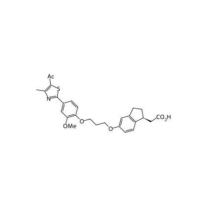 COc1cc(-c2nc(C)c(C(C)=O)s2)ccc1OCCCOc1ccc2c(c1)CC[C@H]2CC(=O)O